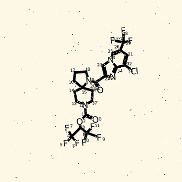 O=C(OC(C(F)(F)F)C(F)(F)F)N1CCC2(CCCN2C(=O)c2cn3cc(C(F)(F)F)cc(Cl)c3n2)CC1